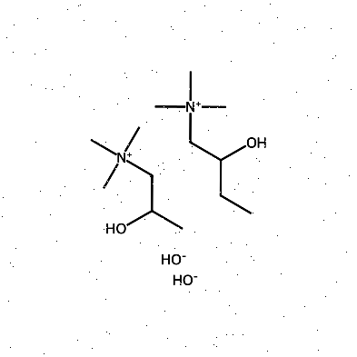 CC(O)C[N+](C)(C)C.CCC(O)C[N+](C)(C)C.[OH-].[OH-]